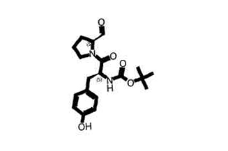 CC(C)(C)OC(=O)N[C@@H](Cc1ccc(O)cc1)C(=O)N1CCC[C@H]1C=O